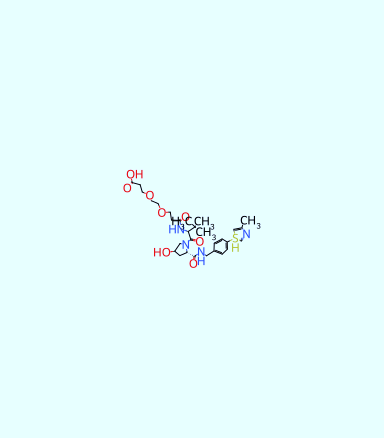 CC1=C[SH](c2ccc(CNC(=O)[C@@H]3C[C@@H](O)CN3C(=O)[C@@H](NC(=O)CCOCCOCCC(=O)O)C(C)(C)C)cc2)C=N1